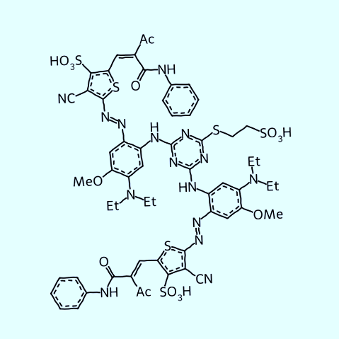 CCN(CC)c1cc(Nc2nc(Nc3cc(N(CC)CC)c(OC)cc3/N=N/c3sc(/C=C(\C(C)=O)C(=O)Nc4ccccc4)c(S(=O)(=O)O)c3C#N)nc(SCCS(=O)(=O)O)n2)c(/N=N/c2sc(/C=C(/C(C)=O)C(=O)Nc3ccccc3)c(S(=O)(=O)O)c2C#N)cc1OC